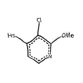 COc1nccc(S)c1Cl